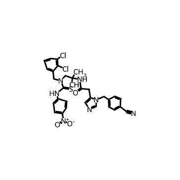 CC(C)(CN(Cc1cccc(Cl)c1Cl)C(=S)Nc1ccc([N+](=O)[O-])cc1)NC(=O)Cc1cncn1Cc1ccc(C#N)cc1